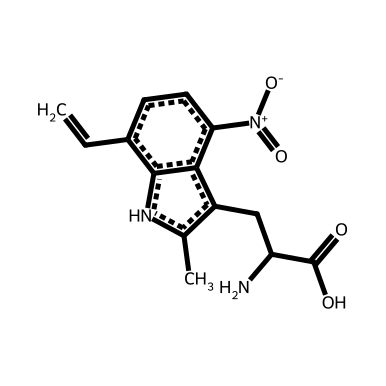 C=Cc1ccc([N+](=O)[O-])c2c(CC(N)C(=O)O)c(C)[nH]c12